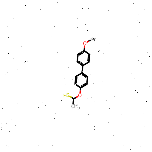 CC(C)Oc1ccc(-c2ccc(OC(C)S)cc2)cc1